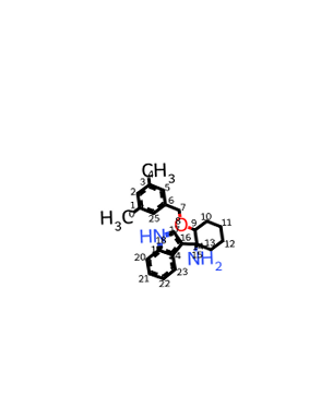 Cc1cc(C)cc(COC2CCCCC2(N)c2c[nH]c3ccccc23)c1